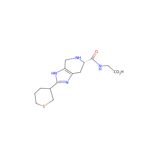 O=C(O)CNC(=O)[C@@H]1Cc2nc(C3CCCSC3)[nH]c2CN1